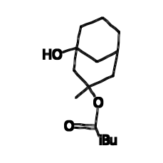 CCC(C)C(=O)OC1(C)CC2CCCC(O)(C2)C1